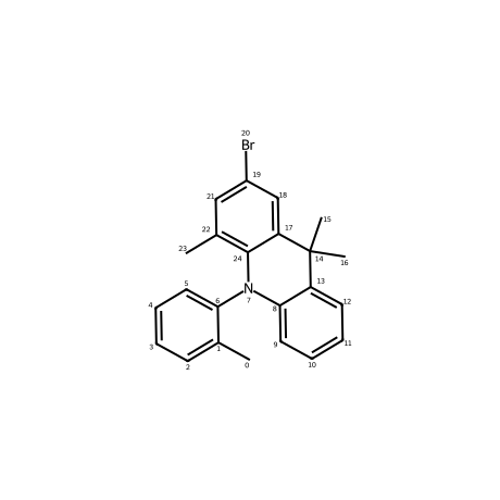 Cc1ccccc1N1c2ccccc2C(C)(C)c2cc(Br)cc(C)c21